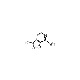 CC(C)c1noc2c(C(C)C)nccc12